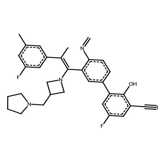 C=Nc1ccc(-c2cc(F)cc(C#N)c2O)cc1/C(=C(\C)c1cc(C)cc(F)c1)N1CC(CN2CCCC2)C1